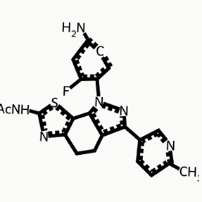 CC(=O)Nc1nc2c(s1)-c1c(c(-c3ccc(C)nc3)nn1-c1ccc(N)cc1F)CC2